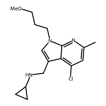 COCCCn1cc(CNC2CC2)c2c(Cl)cc(C)nc21